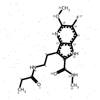 CCC(=O)NCCc1c(C(=O)NC)[nH]c2cc(F)c(OC)nc12